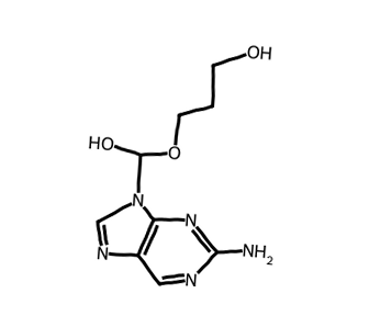 Nc1ncc2ncn(C(O)OCCCO)c2n1